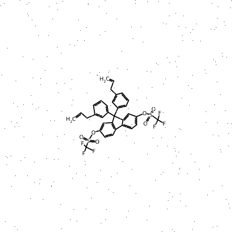 C=CCc1cccc(C2(c3cccc(CC=C)c3)c3cc(OS(=O)(=O)C(F)(F)F)ccc3-c3ccc(OS(=O)(=O)C(F)(F)F)cc32)c1